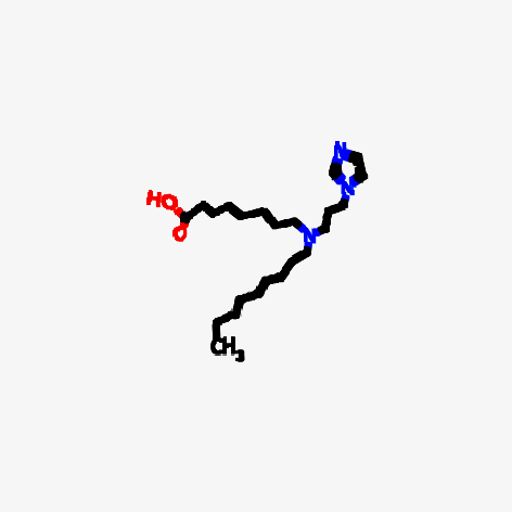 CCCCCCCCCN(CCCCCCCC(=O)O)CCCn1ccnc1